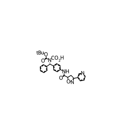 CC(C)(C)OC(=O)N(C(=O)O)[C@@H](c1ccccc1)c1ccc(NC(=O)C2CC(c3cccnc3)=NO2)cc1